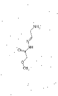 COCC(=O)N/N=C/CN